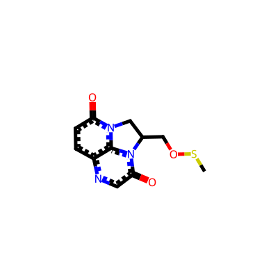 CSOCC1Cn2c(=O)ccc3ncc(=O)n1c32